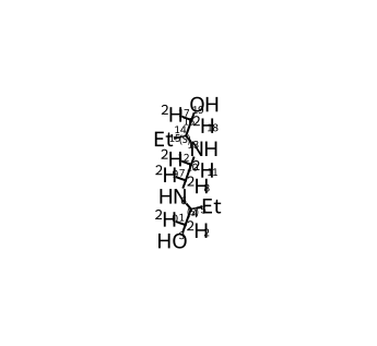 [2H]C([2H])(O)[C@H](CC)NC([2H])([2H])C([2H])([2H])N[C@@H](CC)C([2H])([2H])O